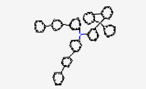 c1ccc(-c2ccc(-c3ccc(N(c4cccc(-c5ccc(-c6ccccc6)cc5)c4)c4cccc(C5(c6ccccc6)c6ccccc6-c6ccccc65)c4)cc3)cc2)cc1